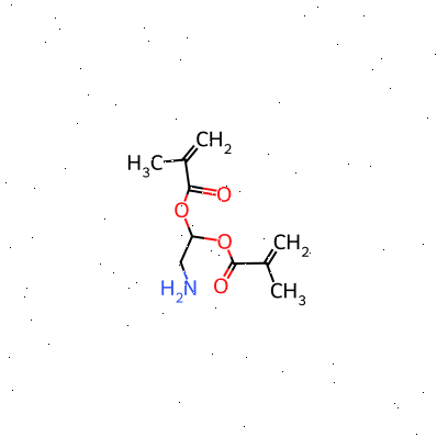 C=C(C)C(=O)OC(CN)OC(=O)C(=C)C